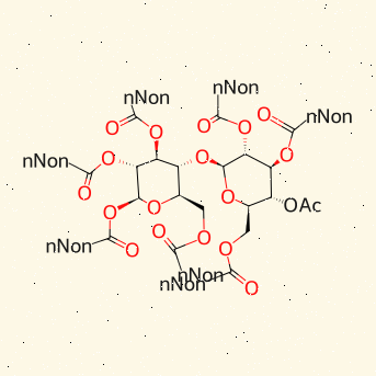 CCCCCCCCCC(=O)OC[C@H]1O[C@@H](O[C@H]2[C@H](OC(=O)CCCCCCCCC)[C@@H](OC(=O)CCCCCCCCC)[C@H](OC(=O)CCCCCCCCC)O[C@@H]2COC(=O)CCCCCCCCC)[C@H](OC(=O)CCCCCCCCC)[C@@H](OC(=O)CCCCCCCCC)[C@@H]1OC(C)=O